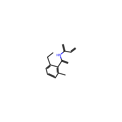 C=CC(=C)NC(=C)c1c(C)cccc1CC